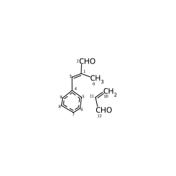 C/C(C=O)=C\c1ccccc1.C=CC=O